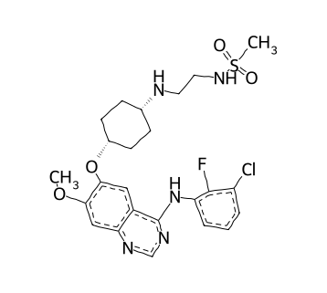 COc1cc2ncnc(Nc3cccc(Cl)c3F)c2cc1O[C@H]1CC[C@@H](NCCNS(C)(=O)=O)CC1